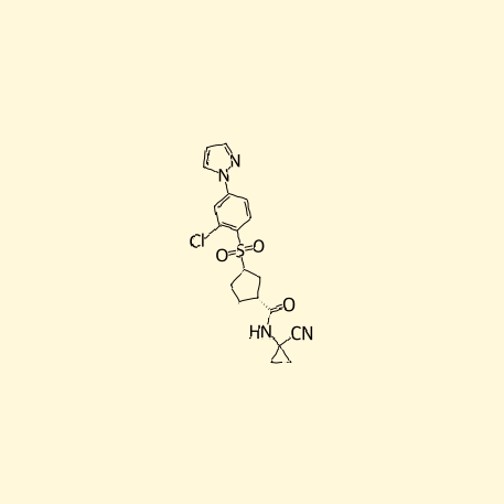 N#CC1(NC(=O)[C@@H]2CCC(S(=O)(=O)c3ccc(-n4cccn4)cc3Cl)C2)CC1